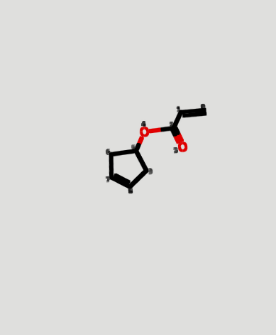 C=CC(=O)OC1CC=CC1